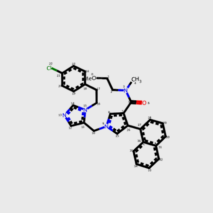 COCCN(C)C(=O)c1cn(Cc2cncn2CCc2ccc(Cl)cc2)cc1-c1cccc2ccccc12